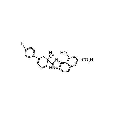 CC1(c2nc3c(ccc4cc(C(=O)O)cc(O)c43)[nH]2)C=CC=C(c2ccc(F)cc2)C1